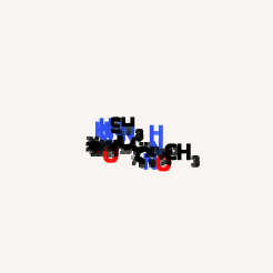 CNc1ncc(-c2ccnc(NC(C)=O)c2)cc1C(=O)NC12CC(C1)C2